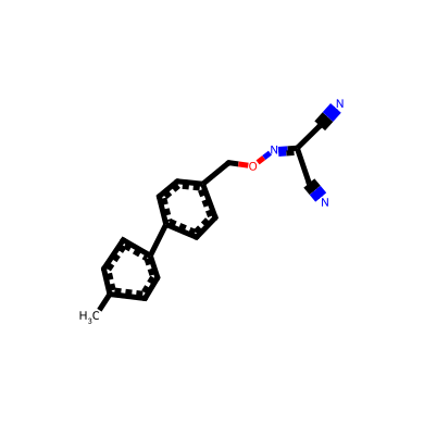 Cc1ccc(-c2ccc(CON=C(C#N)C#N)cc2)cc1